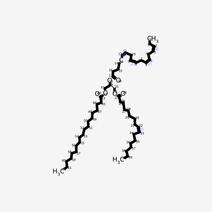 CC/C=C\C/C=C\C/C=C\C/C=C\CCCCC(=O)O[C@H](COC(=O)CCCCCCC/C=C\CCCCCCC)COC(=O)CCCCCCCCCCCCCCCCCC